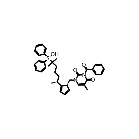 Cc1cn(C[C@H]2C=CC=C2[C@@H](C)CCCC(C)(C)[Si](O)(c2ccccc2)c2ccccc2)c(=O)n(C(=O)c2ccccc2)c1=O